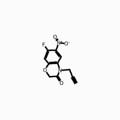 C#CCN1C(=O)COc2cc(F)c([N+](=O)[O-])cc21